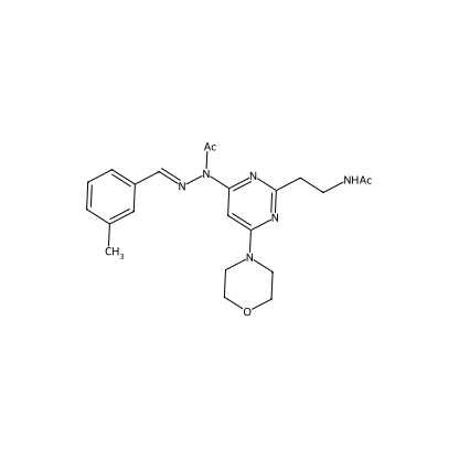 CC(=O)NCCc1nc(N2CCOCC2)cc(N(/N=C/c2cccc(C)c2)C(C)=O)n1